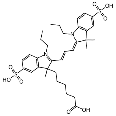 CCCN1/C(=C\C=C\C2=[N+](CCC)c3ccc(S(=O)(=O)O)cc3C2(C)CCCCCC(=O)O)C(C)(C)c2cc(S(=O)(=O)O)ccc21